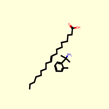 CCCCCCCCC=CCCCCCCCC(=O)O.Cc1ccccc1C(C)(C)N